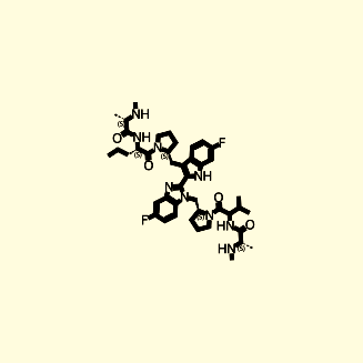 CCC[C@H](NC(=O)[C@H](C)NC)C(=O)N1CCC[C@H]1Cc1c(-c2nc3cc(F)ccc3n2C[C@@H]2CCCN2C(=O)C(NC(=O)[C@H](C)NC)C(C)C)[nH]c2cc(F)ccc12